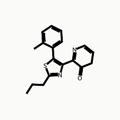 CCCc1nc(C2=NC=CCC2=O)c(-c2ccccc2C)s1